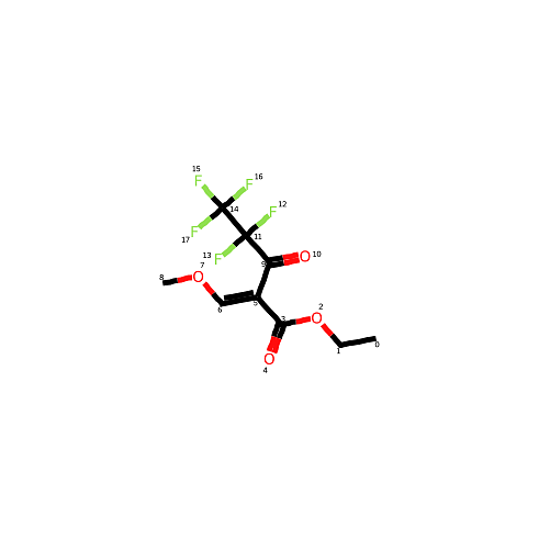 CCOC(=O)C(=COC)C(=O)C(F)(F)C(F)(F)F